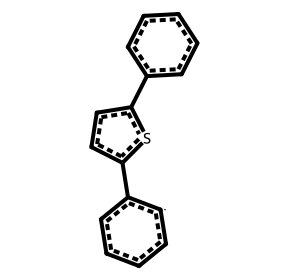 [c]1ccccc1-c1ccc(-c2ccccc2)s1